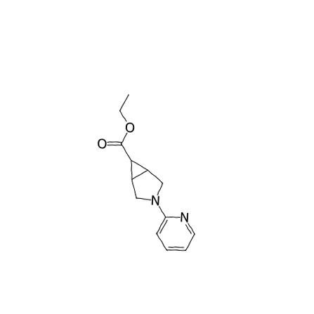 CCOC(=O)C1C2CN(c3ccccn3)CC21